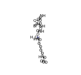 C/C(=N\NC(=O)CCOCCOCCOCCOCCNC(=O)CCN1C(=O)C=CC1=O)c1ccc(C(=O)Nc2ccc3[nH]c(C(=O)N4C[C@@H](CBr)c5c4cc(OC(=O)N4CCNCC4)c4ccccc54)cc3c2)cc1